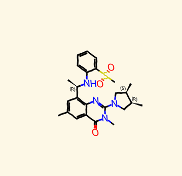 Cc1cc([C@@H](C)Nc2ccccc2S(C)(=O)=O)c2nc(N3C[C@@H](C)[C@@H](C)C3)n(C)c(=O)c2c1